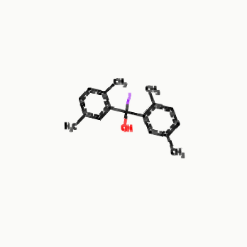 Cc1ccc(C)c(C(O)(I)c2cc(C)ccc2C)c1